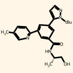 Cc1ccc(-c2cc(C(=O)N[C@@H](C)CO)cc(-c3ccnn3C(C)(C)C)c2)nc1